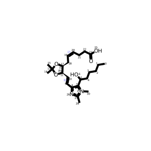 CCCCCC(O)c1c(/C=C/[C@H]2OC(C)(C)O[C@H]2C/C=C\CCC(=O)O)nc(C)n1C